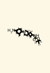 Cc1cc(N)ccc1N1CCC2(CC1)CC(NC(=O)OC(C)(C)C)C2